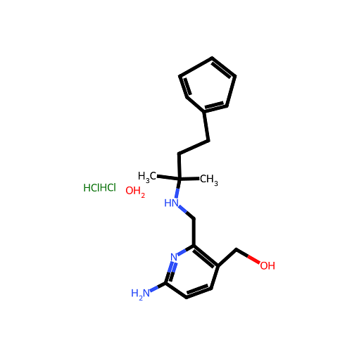 CC(C)(CCc1ccccc1)NCc1nc(N)ccc1CO.Cl.Cl.O